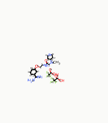 CN(CC(=O)NCCOc1cccc(C(=N)N)c1)c1ccncc1.O=C(O)C(F)(F)F.O=C(O)C(F)(F)F